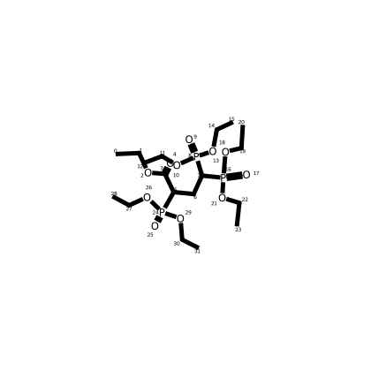 CCOC(=O)C(CC(P(=O)(OCC)OCC)P(=O)(OCC)OCC)P(=O)(OCC)OCC